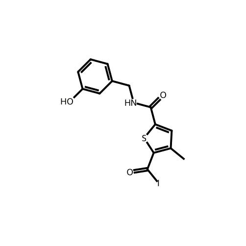 Cc1cc(C(=O)NCc2cccc(O)c2)sc1C(=O)I